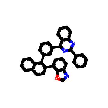 c1ccc(-c2nc(-c3cccc(-c4c(-c5cccc6ncoc56)ccc5ccccc45)c3)c3ccccc3n2)cc1